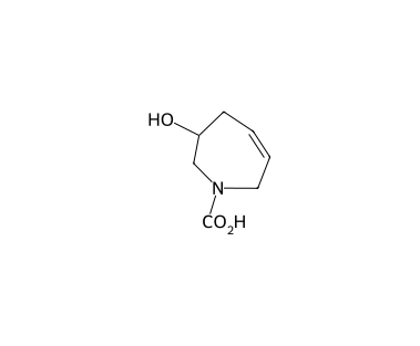 O=C(O)N1CC=CCC(O)C1